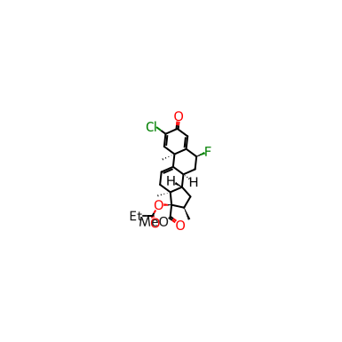 CCC(=O)O[C@]1(C(=O)OC)[C@H](C)C[C@H]2[C@@H]3C[C@H](F)C4=CC(=O)C(Cl)=C[C@]4(C)C3=CC[C@@]21C